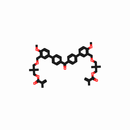 C=C(C)C(=O)OCC(C)(C)COCc1cc(-c2ccc(C(=O)c3ccc(-c4ccc(OC)c(COCC(C)(C)COC(=O)C(=C)C)c4)cc3)cc2)ccc1OC